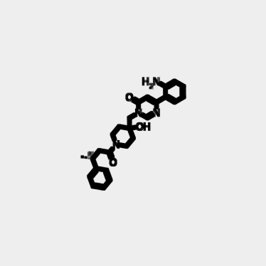 C[C@H](CC(=O)N1CCC(O)(Cn2cnc(-c3ccccc3N)cc2=O)CC1)c1ccccc1